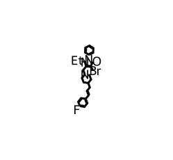 CCn1c(CN2CCC(C/C=C/c3ccc(F)cc3)CC2)c(Br)c(=O)n1-c1ccccc1